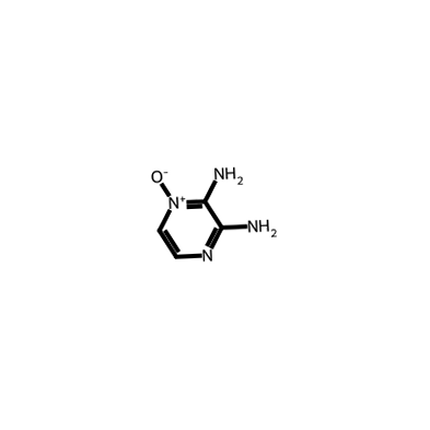 Nc1ncc[n+]([O-])c1N